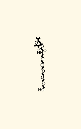 CC(C)C1CC2(C)OC(C(=O)NCCOCCOCCOCCOCCOCCO)N(C)C2C(C)O1